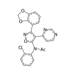 CC(=O)N(c1ccccc1Cl)c1onc(-c2cccc3c2OCO3)c1-c1ccncn1